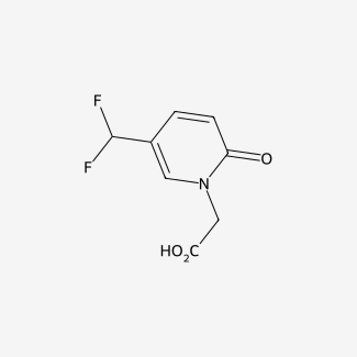 O=C(O)Cn1cc(C(F)F)ccc1=O